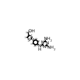 Nc1nc(N)nc(Nc2ccc([As]3SC=C(CO)S3)cc2)n1